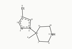 CCc1cnn(C2(C)CCNCC2)c1